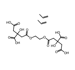 C=CC.C=CC.O=C(O)CC(O)(CC(=O)OCCOC(=O)CC(O)(CC(=O)O)C(=O)O)C(=O)O